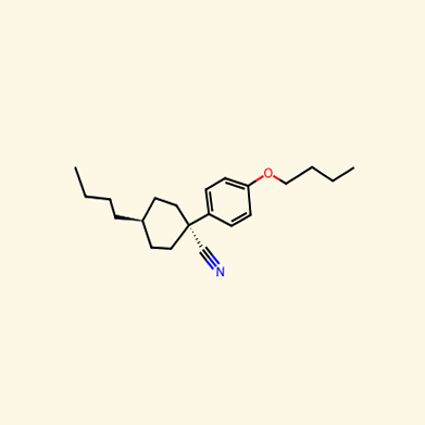 CCCCOc1ccc([C@]2(C#N)CC[C@H](CCCC)CC2)cc1